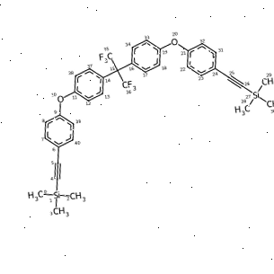 C[Si](C)(C)C#Cc1ccc(Oc2ccc(C(c3ccc(Oc4ccc(C#C[Si](C)(C)C)cc4)cc3)(C(F)(F)F)C(F)(F)F)cc2)cc1